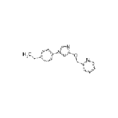 CCc1ccc(-n2cnc(OCc3ccccn3)c2)cc1